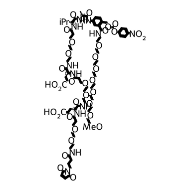 COCCOCCOCCOCCOCCOCCOCCOCCNC(=O)c1cc(NC(=O)[C@H](C)NC(=O)[C@@H](NC(=O)CCOCCOCCNC(=O)[C@H](CCC(=O)O)NC(=O)CCOCCOCCNC(=O)[C@H](CCC(=O)O)NC(=O)CCOCCOCCNC(=O)CCCN2C(=O)C=CC2=O)C(C)C)ccc1COC(=O)Oc1ccc([N+](=O)[O-])cc1